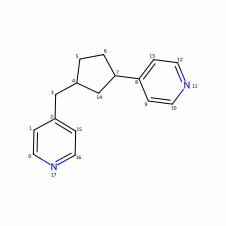 c1cc(CC2CCC(c3ccncc3)C2)ccn1